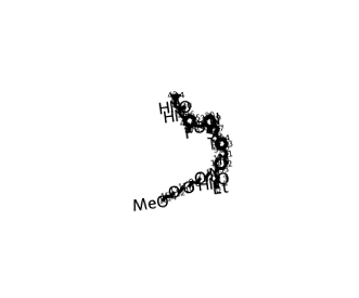 CCNC(=O)N(CCOCCOCCOCCOC)C1CCN(Cc2ccc(-c3cc4nccc(Oc5ccc(NC(=O)NC6CC6)cc5F)c4s3)nc2)CC1